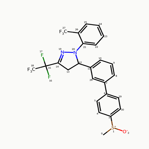 C[S+]([O-])c1ccc(-c2cccc(C3CC(C(F)(F)C(F)(F)F)=NN3c3ccccc3C(F)(F)F)c2)cc1